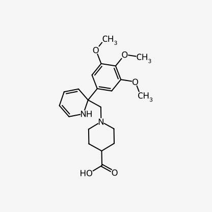 COc1cc(C2(CN3CCC(C(=O)O)CC3)C=CC=CN2)cc(OC)c1OC